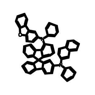 c1ccc(N(c2ccc3c(c2)C2(c4ccccc4-3)c3ccccc3-c3c(N(c4ccccc4)c4ccc5oc6ccccc6c5c4)cccc32)c2ccc3ccccc3c2)cc1